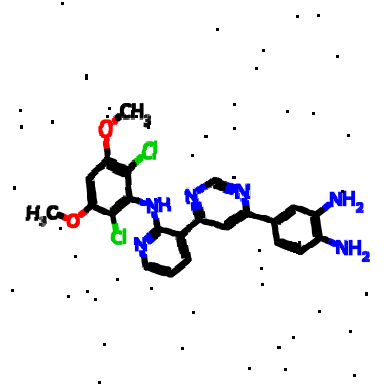 COc1cc(OC)c(Cl)c(Nc2ncccc2-c2cc(-c3ccc(N)c(N)c3)ncn2)c1Cl